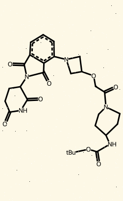 CC(C)(C)OC(=O)NC1CCN(C(=O)COC2CN(c3cccc4c3C(=O)N(C3CCC(=O)NC3=O)C4=O)C2)CC1